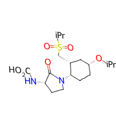 CC(C)O[C@@H]1CC[C@H](N2CC[C@H](NC(=O)O)C2=O)[C@H](CS(=O)(=O)C(C)C)C1